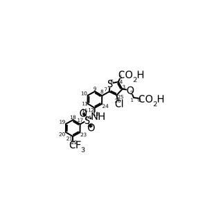 O=C(O)COc1c(C(=O)O)sc(-c2cccc(NS(=O)(=O)c3cccc(C(F)(F)F)c3)c2)c1Cl